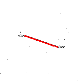 CCCCCCCCCCCCCCCCCCCCCCCCCCCCCCCCCCCCCCCCCCCCCCCCCCCCCCCCCCCCCCCCCCCCCCCCCCCCCCCCCCCCCCCCCCCCCCCCCC